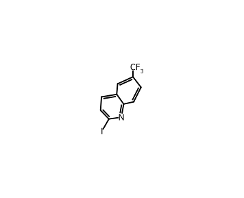 FC(F)(F)c1ccc2nc(I)ccc2c1